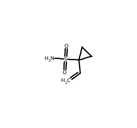 C=CC1(S(N)(=O)=O)CC1